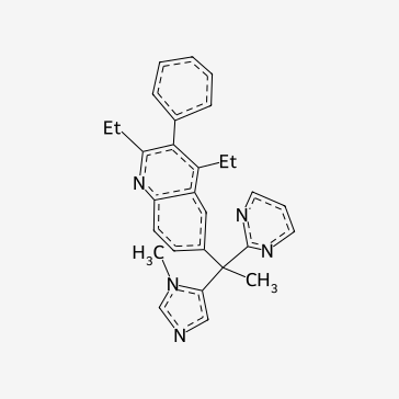 CCc1nc2ccc(C(C)(c3ncccn3)c3cncn3C)cc2c(CC)c1-c1ccccc1